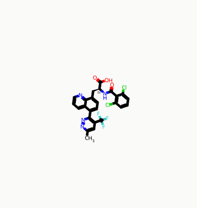 Cc1cc(C(F)(F)F)c(-c2ccc(C[C@H](NC(=O)c3c(Cl)cccc3Cl)C(=O)O)c3ncccc23)nn1